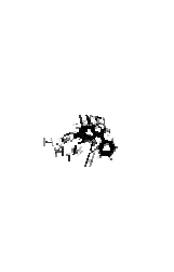 C=CC(c1ccccc1)c1c(C)[c]c(C)c(C)c1O